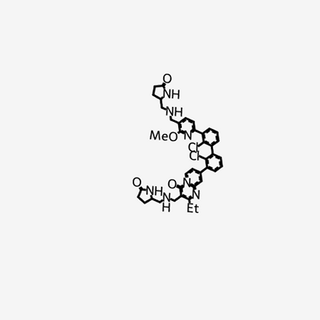 CCc1nc2cc(-c3cccc(-c4cccc(-c5ccc(CNCC6CCC(=O)N6)c(OC)n5)c4Cl)c3Cl)ccn2c(=O)c1CNCC1CCC(=O)N1